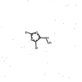 CCCNc1sc(Br)nc1Br